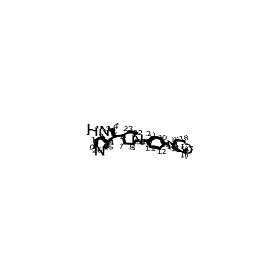 c1cc2[nH]cc(C3CCN(c4ccc(N5CCOCC5)cc4)CC3)c2cn1